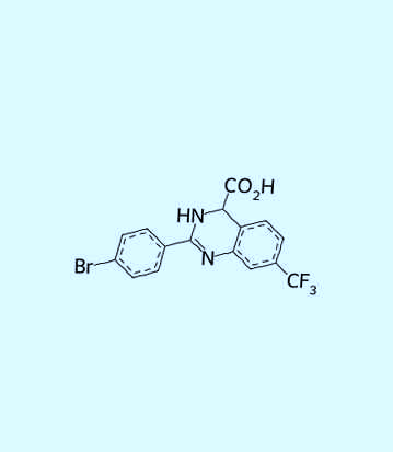 O=C(O)C1NC(c2ccc(Br)cc2)=Nc2cc(C(F)(F)F)ccc21